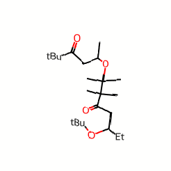 CCC(CC(=O)C(C)(C)C(C)(C)OC(C)CC(=O)C(C)(C)C)OC(C)(C)C